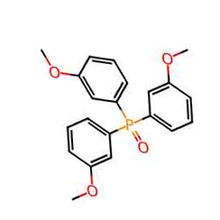 COc1cccc(P(=O)(c2cccc(OC)c2)c2cccc(OC)c2)c1